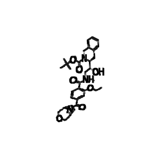 CCOc1cc(C(=O)N2C3CCC2COC3)ccc1C(=O)NC[C@@H](O)[C@@H]1Cc2ccccc2CN1C(=O)OC(C)(C)C